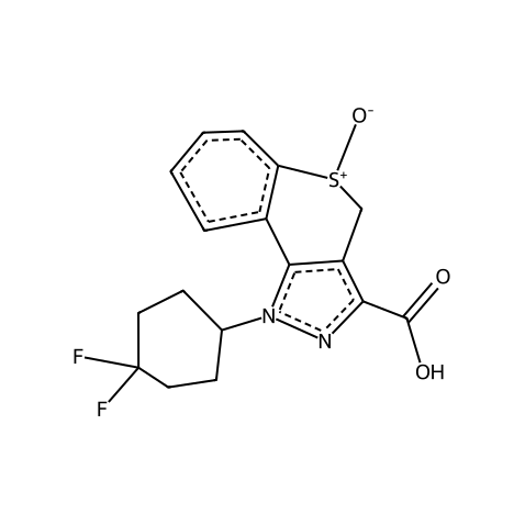 O=C(O)c1nn(C2CCC(F)(F)CC2)c2c1C[S+]([O-])c1ccccc1-2